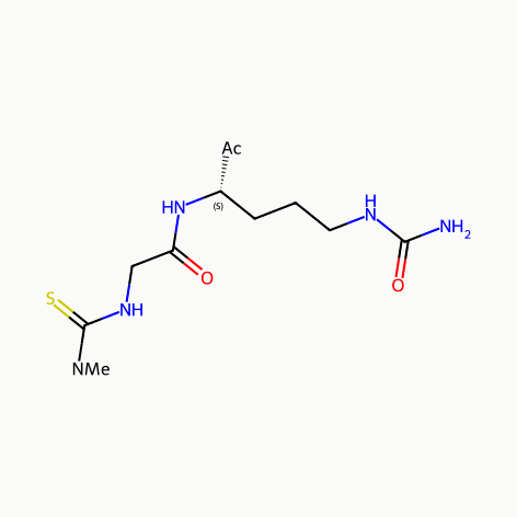 CNC(=S)NCC(=O)N[C@@H](CCCNC(N)=O)C(C)=O